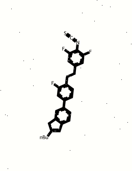 CCCCC1=Cc2ccc(-c3ccc(CCc4cc(F)c(N=C=S)c(F)c4)c(F)c3)cc2C1